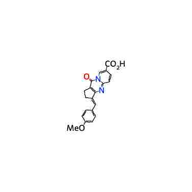 COc1ccc(C=C2CCc3c2nc2ccc(C(=O)O)cn2c3=O)cc1